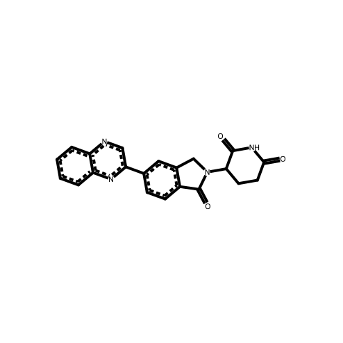 O=C1CCC(N2Cc3cc(-c4cnc5ccccc5n4)ccc3C2=O)C(=O)N1